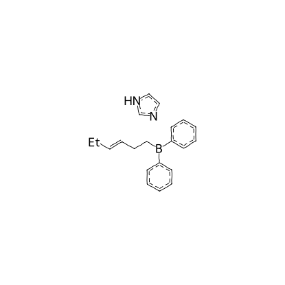 CCC=CCCB(c1ccccc1)c1ccccc1.c1c[nH]cn1